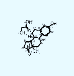 CCC(=O)O.C[C@]12CC[C@@H]3c4ccc(O)cc4CC[C@H]3[C@@H]1CCC2=O